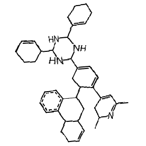 CC1=NC(C)CC(C2=CC=C(C3NC(C4=CCCCC4)NC(C4C=CCCC4)N3)CC2C2CC3C=CCCC3c3ccccc32)=C1